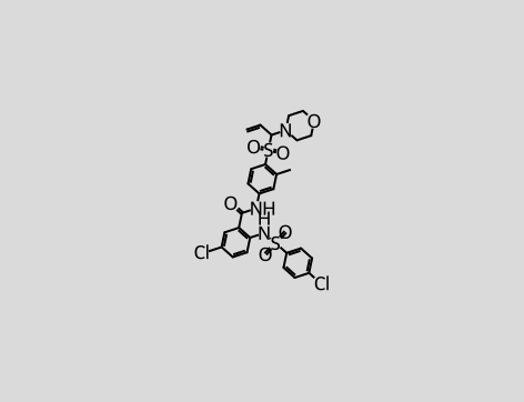 C=CC(N1CCOCC1)S(=O)(=O)c1ccc(NC(=O)c2cc(Cl)ccc2NS(=O)(=O)c2ccc(Cl)cc2)cc1C